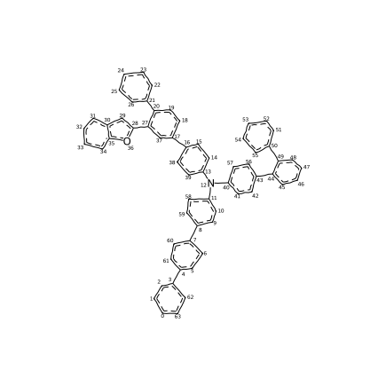 c1ccc(-c2ccc(-c3ccc(N(c4ccc(-c5ccc(-c6ccccc6)c(-c6cc7ccccc7o6)c5)cc4)c4ccc(-c5ccccc5-c5ccccc5)cc4)cc3)cc2)cc1